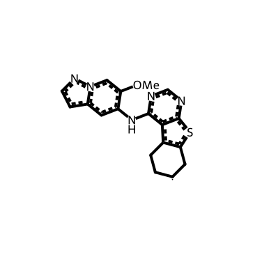 COc1cn2nccc2cc1Nc1ncnc2sc3c(c12)CC[CH]C3